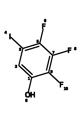 Oc1cc(I)c(F)c(F)c1F